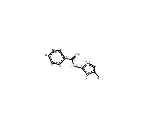 Cc1cnc(NC(=O)c2[c]cccc2)s1